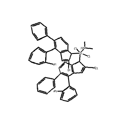 CCC1=Cc2c(ccc(-c3ccccc3)c2-c2ccccc2C(C)C)[CH]1[Zr]([Cl])([Cl])([CH]1C(CC)=Cc2c1ccc(-c1ccccc1)c2-c1ccccc1C(C)C)[SiH](C)C